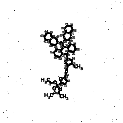 CCO[Si](OCC)(OCC)c1ccc(C#Cc2sc(-c3c4ccccc4c(N(c4ccc5ccccc5c4)c4ccc5ccccc5c4)c4ccccc34)cc2C)o1